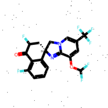 O=C1c2c(F)cccc2[C@@]2(CC1F)CN1C=C(C(F)(F)F)C=C(OC(F)F)C1=N2